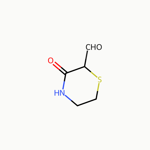 O=CC1SCCNC1=O